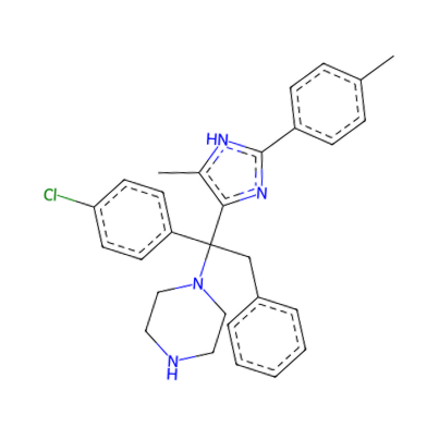 Cc1ccc(-c2nc(C(Cc3ccccc3)(c3ccc(Cl)cc3)N3CCNCC3)c(C)[nH]2)cc1